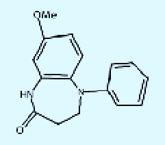 COc1ccc2c(c1)NC(=O)CCN2c1ccccc1